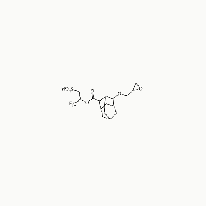 O=C(OC(CS(=O)(=O)O)C(F)(F)F)C1C2CC3CC(C2)C(OCC2CO2)C1C3